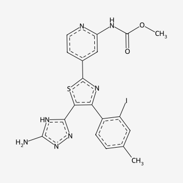 COC(=O)Nc1cc(-c2nc(-c3ccc(C)cc3I)c(-c3nnc(N)[nH]3)s2)ccn1